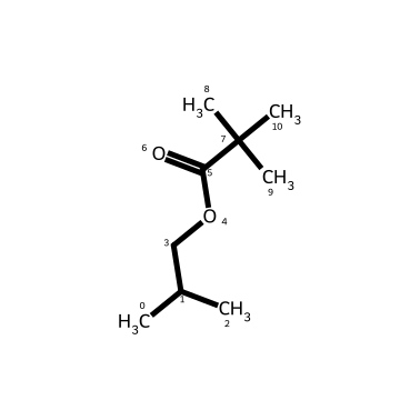 CC(C)COC(=O)C(C)(C)C